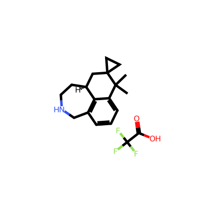 CC1(C)c2cccc3c2[C@@H](CCNC3)CC12CC2.O=C(O)C(F)(F)F